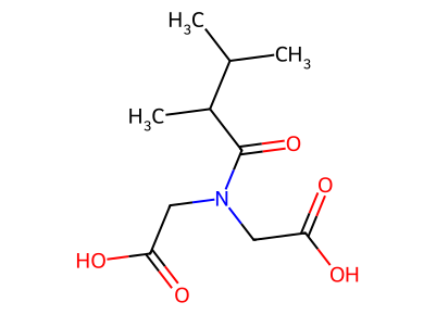 CC(C)C(C)C(=O)N(CC(=O)O)CC(=O)O